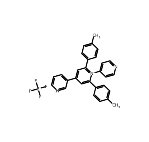 Cc1ccc(-c2cc(-c3cccnc3)cc(-c3ccc(C)cc3)[n+]2-c2ccncc2)cc1.F[B-](F)(F)F